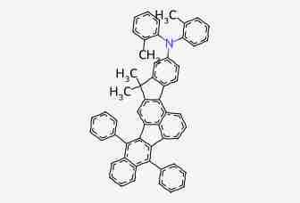 Cc1ccccc1N(c1ccc2c(c1)C(C)(C)c1cc3c4c(cccc4c1-2)-c1c-3c(-c2ccccc2)c2ccccc2c1-c1ccccc1)c1ccccc1C